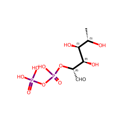 C[C@H](O)[C@H](O)[C@@H](O)[C@H](C=O)OP(=O)(O)OP(=O)(O)O